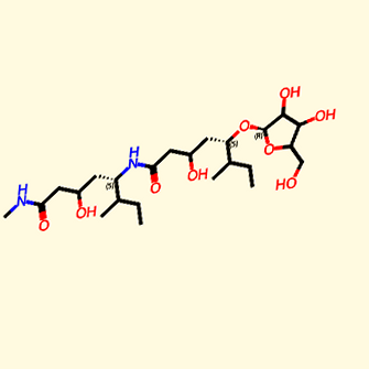 CCC(C)[C@H](CC(O)CC(=O)NC)NC(=O)CC(O)C[C@H](O[C@@H]1OC(CO)C(O)C1O)C(C)CC